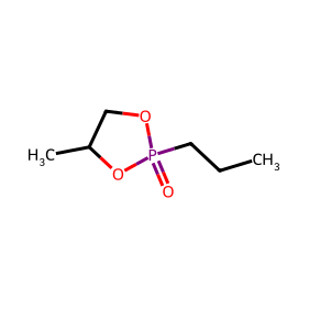 CCCP1(=O)OCC(C)O1